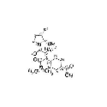 BNC(C(=O)N1CC[C@H](F)C1)[C@@H](C(=O)N(C)C)C1CCC(C(=O)O)CC1